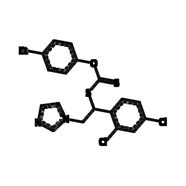 CCc1ccc(OC(=S)SC(Cn2ccnc2)c2ccc(Cl)cc2Cl)cc1